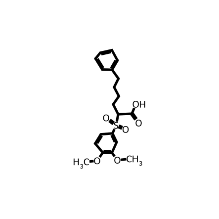 COc1ccc(S(=O)(=O)C(CCCCc2ccccc2)C(=O)O)cc1OC